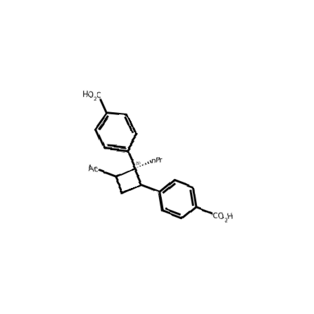 CCC[C@@]1(c2ccc(C(=O)O)cc2)C(C(C)=O)CC1c1ccc(C(=O)O)cc1